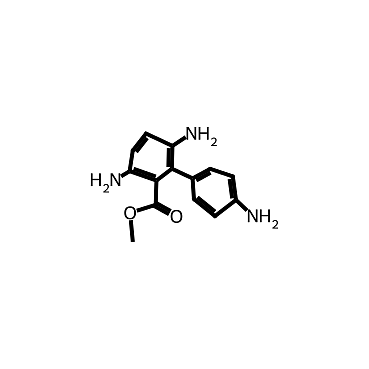 COC(=O)c1c(N)ccc(N)c1-c1ccc(N)cc1